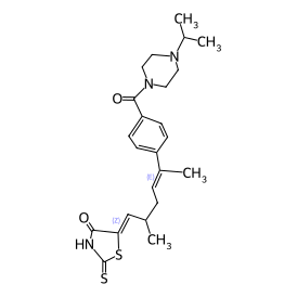 C/C(=C\CC(C)/C=C1\SC(=S)NC1=O)c1ccc(C(=O)N2CCN(C(C)C)CC2)cc1